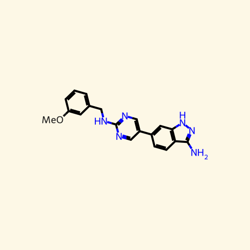 COc1cccc(CNc2ncc(-c3ccc4c(N)n[nH]c4c3)cn2)c1